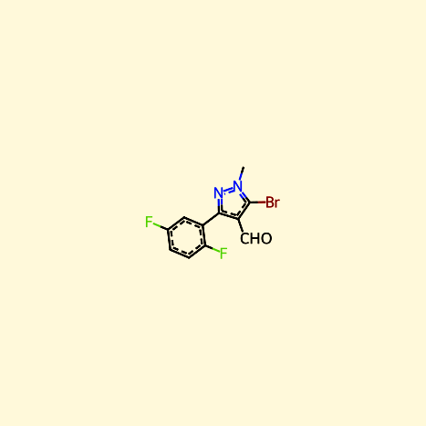 Cn1nc(-c2cc(F)ccc2F)c(C=O)c1Br